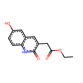 CCOC(=O)Cc1cc2cc(O)ccc2[nH]c1=O